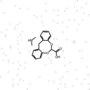 CNC.O=C(O)C1Oc2ccccc2Cc2ccccc2O1